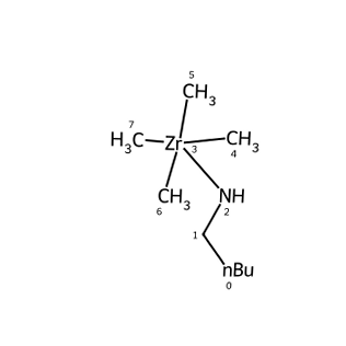 CCCCC[NH][Zr]([CH3])([CH3])([CH3])[CH3]